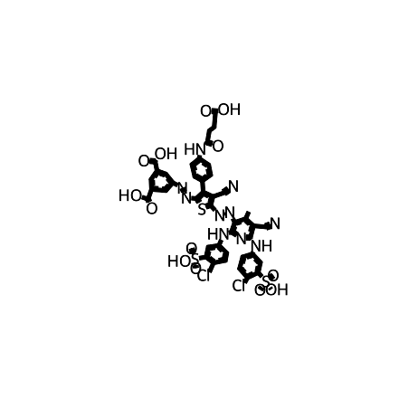 Cc1c(C#N)c(Nc2ccc(Cl)c(S(=O)(=O)O)c2)nc(Nc2ccc(Cl)c(S(=O)(=O)O)c2)c1N=Nc1sc(N=Nc2cc(C(=O)O)cc(C(=O)O)c2)c(-c2ccc(NC(=O)CCC(=O)O)cc2)c1C#N